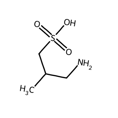 CC(CN)CS(=O)(=O)O